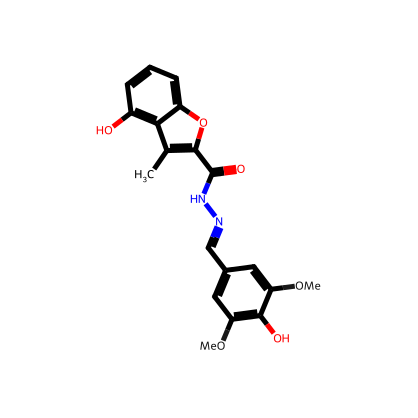 COc1cc(C=NNC(=O)c2oc3cccc(O)c3c2C)cc(OC)c1O